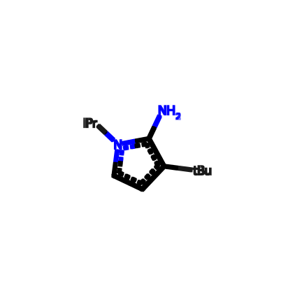 CC(C)n1ccc(C(C)(C)C)c1N